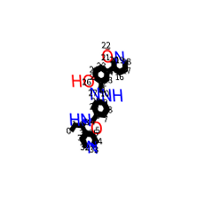 CCC(NC(=O)c1ccc2[nH]c(-c3cc(-c4cccnc4OC)ccc3O)nc2c1)c1ccncc1